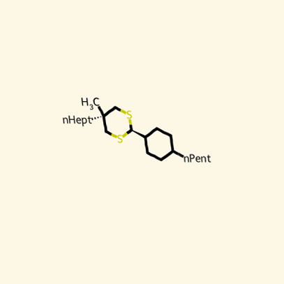 CCCCCCC[C@]1(C)CS[C@@H](C2CCC(CCCCC)CC2)SC1